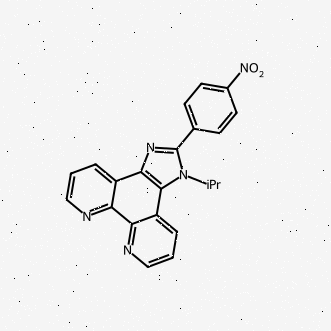 CC(C)n1c(-c2ccc([N+](=O)[O-])cc2)nc2c3cccnc3c3ncccc3c21